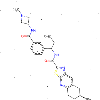 CN1CC(NC(=O)c2cccc(C(CC=O)NC(=O)c3nc4cc5c(nc4s3)CC[C@H](C(C)(C)C)C5)c2)C1